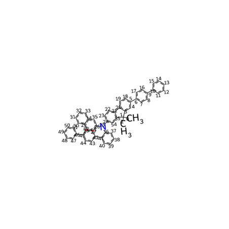 CC1(C)c2cc(-c3ccc(-c4ccccc4)cc3)ccc2-c2ccc(N(c3ccc4ccccc4c3)c3ccccc3-c3ccc(-c4ccccc4)cc3)cc21